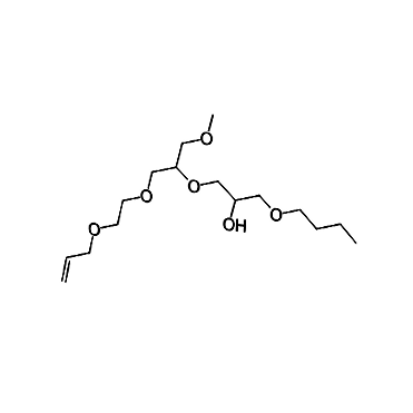 C=CCOCCOCC(COC)OCC(O)COCCCC